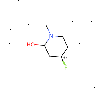 CN1CC[C@@H](F)CC1O